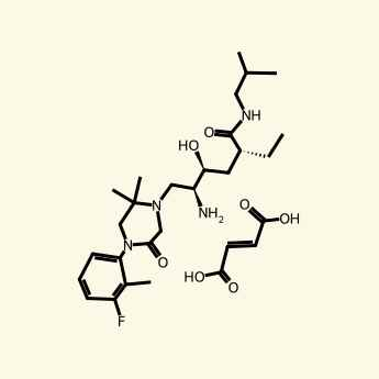 CC[C@H](C[C@H](O)[C@@H](N)CN1CC(=O)N(c2cccc(F)c2C)CC1(C)C)C(=O)NCC(C)C.O=C(O)/C=C/C(=O)O